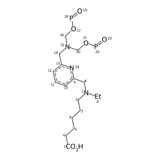 CCN(CCCCCC(=O)O)Cc1cccc(CN(COP=O)COP=O)n1